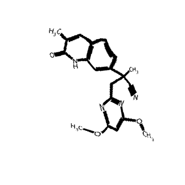 COc1cc(OC)nc(CC(C)(C#N)c2ccc3cc(C)c(=O)[nH]c3c2)n1